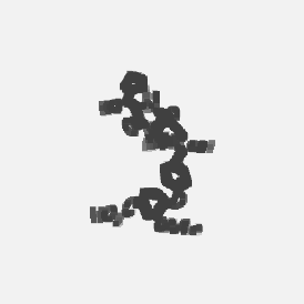 CCCCN1C(=O)[C@@H]([C@H](O)C2CC=CC2)NC(=O)C12CCN(Cc1ccc(Oc3ccc(C(=O)O)cc3OC)cc1)CC2.Cl